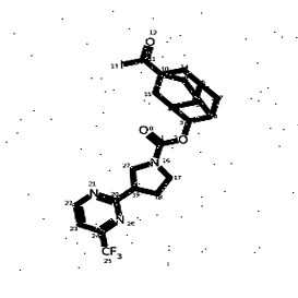 O=C(OC1C2CC3CC1CC(C(=O)I)(C3)C2)N1CCC(c2nccc(C(F)(F)F)n2)C1